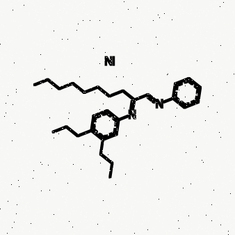 CCCCCCCCC(C=Nc1ccccc1)=Nc1ccc(CCC)c(CCC)c1.[Ni]